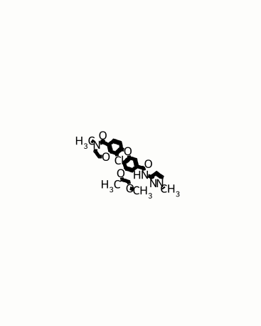 COC[C@H](C)Oc1cc(Oc2ccc3c(c2Cl)OCCN(C)C3=O)cc(C(=O)Nc2ccn(C)n2)c1